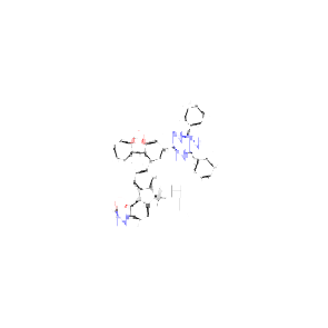 CC1(C)c2cc(-c3cc(-c4nc(-c5ccccc5)nc(-c5ccccc5)n4)cc4oc5ccccc5c34)ccc2-c2c1ccc1ncoc21